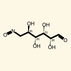 O=C[C@H](O)[C@@H](O)[C@H](O)[C@H](O)CN=O